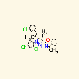 CC(=Cc1cccc(Cl)c1)c1c(C)c(C(=O)N[C@@H](C)C2CCCCC2)nn1-c1ccc(Cl)cc1Cl